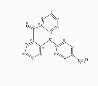 CCOC(=O)c1ccc(-[s+]2c3ccccc3c(=O)c3ccccc32)cc1